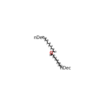 C=C(CCCCCCCCCCCCCCCCCCC)OC(=C)CCCCCCCCCCCCCCCCCCC